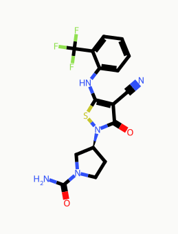 N#Cc1c(Nc2ccccc2C(F)(F)F)sn([C@H]2CCN(C(N)=O)C2)c1=O